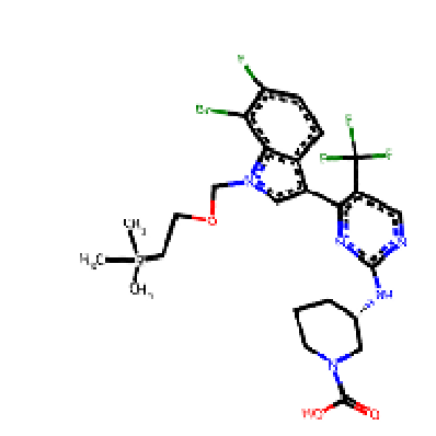 C[Si](C)(C)CCOCn1cc(-c2nc(N[C@H]3CCCN(C(=O)O)C3)ncc2C(F)(F)F)c2ccc(F)c(Br)c21